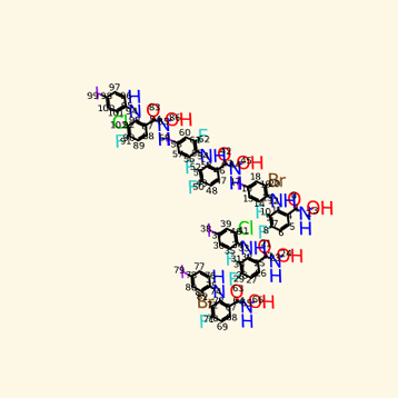 O=C(NO)c1ccc(F)c(F)c1Nc1ccc(I)cc1Br.O=C(NO)c1ccc(F)c(F)c1Nc1ccc(I)cc1Cl.O=C(NO)c1ccc(F)c(F)c1Nc1ccc(I)cc1F.O=C(NO)c1ccc(F)cc1Nc1ccc(I)cc1Br.O=C(NO)c1ccc(F)cc1Nc1ccc(I)cc1Cl